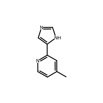 Cc1ccnc(-c2cnc[nH]2)c1